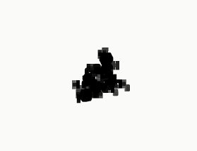 Cc1cc(C)n(-c2nc(NC3CCC(F)(F)CC3)cc(C(C)Oc3cc(C)nn3-c3nc(CO)cc(NC4CCC(F)(F)CC4)n3)n2)n1